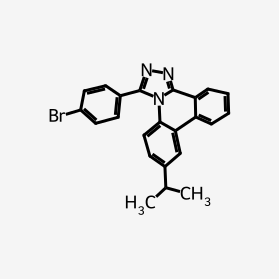 CC(C)c1ccc2c(c1)c1ccccc1c1nnc(-c3ccc(Br)cc3)n21